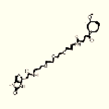 CO[C@H]1C#CCCN(C(=O)CCC(=O)NCCCOCCOCCOCCCNC(=O)C[C@@H]2SCC3NC(=O)NC32)C[C@@H]1C